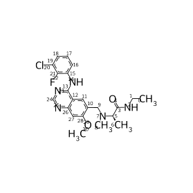 CCNC(=O)[C@@H](C)N(C)Cc1cc2c(Nc3cccc(Cl)c3F)ncnc2cc1OC